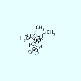 CCCCc1cc(I)c2op(Oc3c(CCCC)cc(I)cc3-c3cc(I)cc(I)c3OP(C3CCCCC3)C3CCCCC3)oc3c(CCCC)cc(CCCC)cc3c2c1